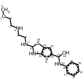 COCCNCCNC1Nc2sc(C(O)Nc3ccccc3)cc2S1